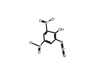 [N-]=[N+]=Nc1cc([N+](=O)[O-])cc([N+](=O)[O-])c1O